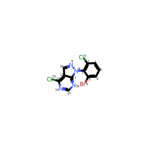 Clc1cccc(Br)c1-n1ncc2c(Cl)ncnc21